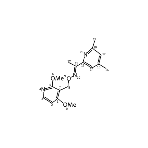 COc1ccnc(OC)c1CO/N=C(\C)c1cc(C)cc(C)n1